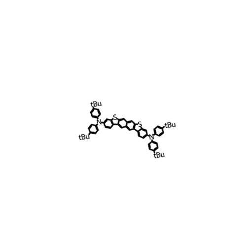 CC(C)(C)c1ccc(N(c2ccc(C(C)(C)C)cc2)c2ccc3c(c2)sc2cc4cc5sc6cc(N(c7ccc(C(C)(C)C)cc7)c7ccc(C(C)(C)C)cc7)ccc6c5cc4cc23)cc1